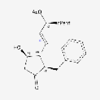 CCCCC[C@@H](/C=C/[C@H]1[C@H](O)CC(=O)[C@@H]1Cc1ccccc1)OC(C)=O